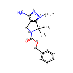 CCOC(=O)n1nc(N)c2c1C(C)(C)N(C(=O)OCc1ccccc1)C2